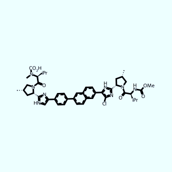 COC(=O)N[C@H](C(=O)N1C[C@@H](C)C[C@H]1c1nc(Cl)c(-c2ccc3cc(-c4ccc(-c5c[nH]c([C@@H]6C[C@H](C)CN6C(=O)[C@H](C(C)C)N(C)C(=O)O)n5)cc4)ccc3c2)[nH]1)C(C)C